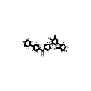 Cc1cc2c(c(-c3ccc(Nc4ccc(-c5ccccc5)cc4)cc3)c1C)Cc1ccccc1-2